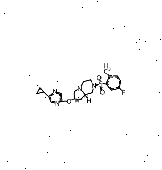 Cc1ccc(F)cc1S(=O)(=O)N1CCN2C[C@H](Oc3cnc(C4CC4)cn3)C[C@H]2C1